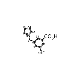 O=C(O)c1cc(Br)cc(Cn2ccnc2)c1